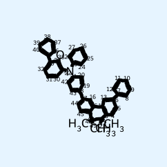 CC1(C)c2ccc(-c3ccccc3)cc2-c2cc(-c3ccc(N(c4ccccc4)c4cccc5c4oc4ccccc45)cc3)ccc2C1(C)C